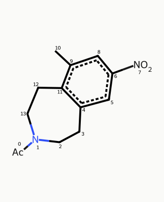 CC(=O)N1CCc2cc([N+](=O)[O-])cc(C)c2CC1